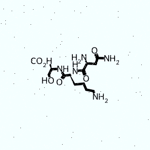 NCCCC[C@H](NC(=O)[C@@H](N)CC(N)=O)C(=O)N[C@@H](CO)C(=O)O